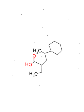 CCC(CC(C)C1CCCCC1)C(=O)O